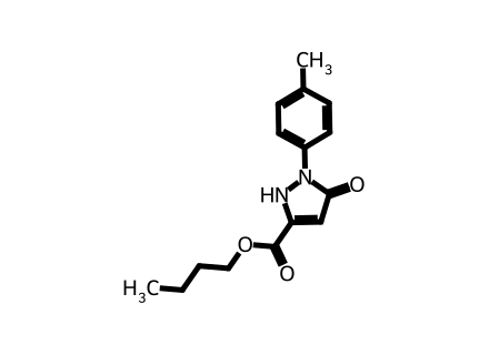 CCCCOC(=O)c1cc(=O)n(-c2ccc(C)cc2)[nH]1